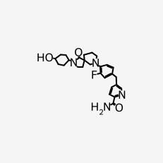 NC(=O)c1ccc(Cc2ccc(N3CCCC4(CCN(C5CCC(O)CC5)C4=O)C3)c(F)c2)cn1